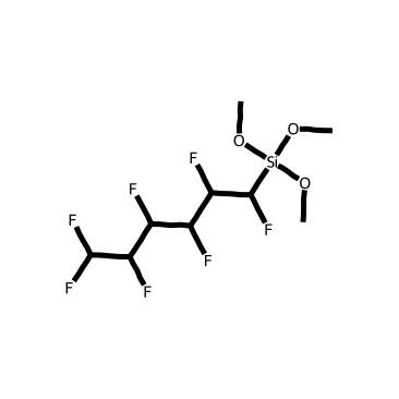 CO[Si](OC)(OC)C(F)C(F)C(F)C(F)C(F)C(F)F